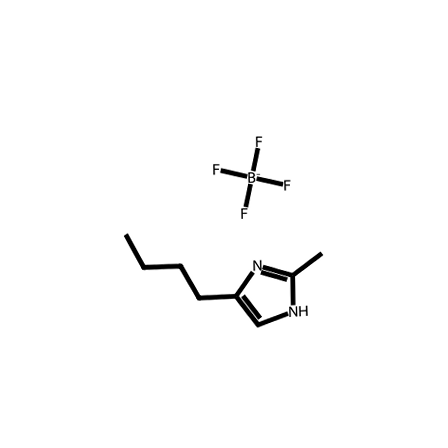 CCCCc1c[nH]c(C)n1.F[B-](F)(F)F